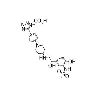 CS(=O)(=O)Nc1cc(C(O)CNC2CCN(c3ccc(-c4nnnn4CC(=O)O)cc3)CC2)ccc1O